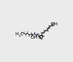 CCCCCCC(O)C/C=C/[C@H]1C=CC[C@@H]1CCCCCCCCO